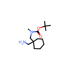 CN(CC1(CN)CCCCC1)C(=O)OC(C)(C)C